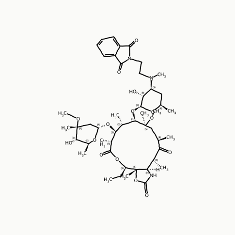 CC[C@H]1OC(=O)[C@H](C)[C@@H](O[C@H]2C[C@@](C)(OC)[C@@H](O)[C@H](C)O2)[C@H](C)[C@@H](O[C@@H]2O[C@H](C)C[C@H](N(C)CCN3C(=O)c4ccccc4C3=O)[C@H]2O)[C@@](C)(OC)C[C@@H](C)C(=O)[C@H](C)[C@H]2NC(=O)O[C@@]21C